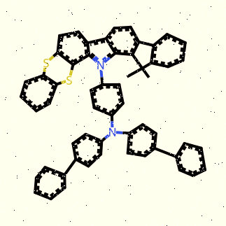 CC1(C)c2ccccc2-c2ccc3c4ccc5c(c4n(-c4ccc(N(c6ccc(-c7ccccc7)cc6)c6ccc(-c7ccccc7)cc6)cc4)c3c21)Sc1ccccc1S5